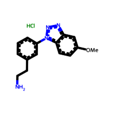 COc1ccc2c(c1)nnn2-c1cccc(CCN)c1.Cl